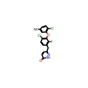 N#Cc1ccc(Cl)c(Oc2c(Cl)ccc(Cc3ccc(=O)[nH]n3)c2F)c1